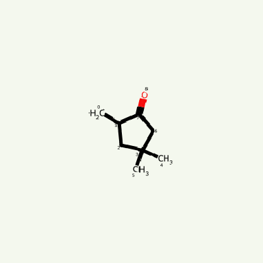 [CH2]C1CC(C)(C)CC1=O